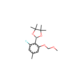 COCOc1cc(C)cc(F)c1B1OC(C)(C)C(C)(C)O1